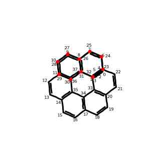 c1ccc2c(c1)ccc1ccc3ccc4ccc5ccc6ccc7ccc8ccccc8c7c6c5c4c3c12